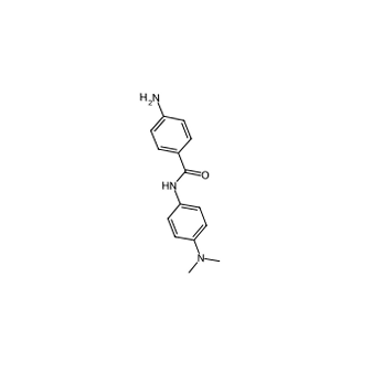 CN(C)c1ccc(NC(=O)c2ccc(N)cc2)cc1